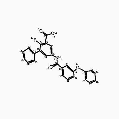 O=C(Nc1cc(C(=O)O)c(F)c(-c2ccccc2)c1)c1cccc(Oc2ccccc2)c1